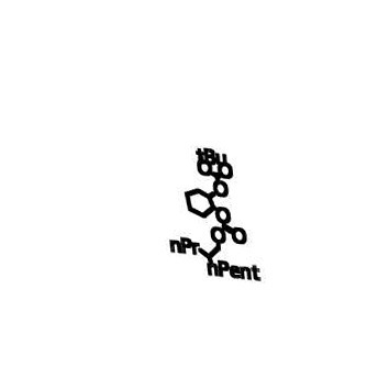 CCCCCC(CCC)COC(=O)OC1CCCCC1OC(=O)OC(C)(C)C